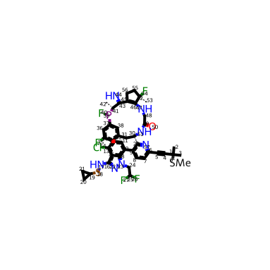 CSC(C)(C)C#Cc1ccc(-c2ccc(Cl)c3c(NSC4CC4)nn(CC(F)F)c23)c([C@@H]2Cc3cc(F)cc(c3)P(F)[C@H](C)C(=N)C3=C(NCC(=O)N2)[C@](C)(F)CC3)n1